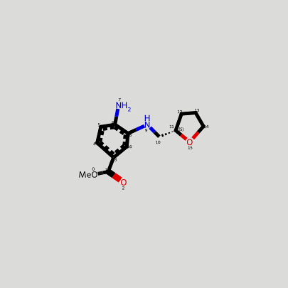 COC(=O)c1ccc(N)c(NC[C@@H]2CCCO2)c1